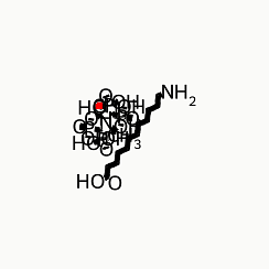 CC[N+](CC)(C(P(=O)(O)O)P(=O)(O)O)C(P(=O)(O)O)P(=O)(O)O.NCCCCCCCCCCCC(=O)O